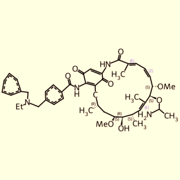 CCN(Cc1ccccc1)Cc1ccc(C(=O)NC2=C3C[C@@H](C)C[C@H](OC)[C@H](O)[C@@H](C)/C=C(\C)[C@H](OC(C)N)[C@@H](OC)/C=C\C=C(/C)C(=O)NC(=CC2=O)C3=O)cc1